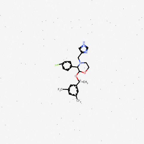 C[C@@H](OC1OCCN(Cc2c[nH]cn2)C1c1ccc(F)cc1)c1cc(C(F)(F)F)cc(C(F)(F)F)c1